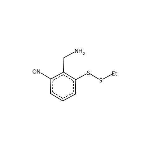 CCSSc1cccc(N=O)c1CN